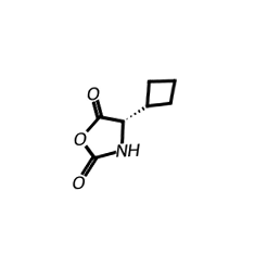 O=C1N[C@@H](C2CCC2)C(=O)O1